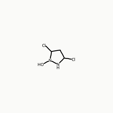 ON1NC(Cl)CC1Cl